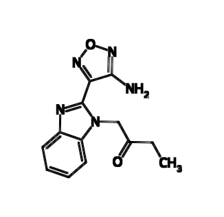 CCC(=O)Cn1c(-c2nonc2N)nc2ccccc21